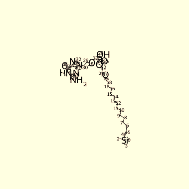 C[Si](C)(C)C#CCCCCCCCCCCCCCCOCCOP(=O)(O)COCCn1cnc2c(=O)[nH]c(N)nc21